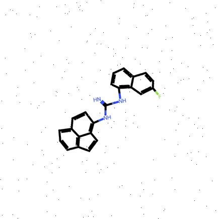 N=C(Nc1ccc2cccc3c2c1C=C3)Nc1cccc2ccc(F)cc12